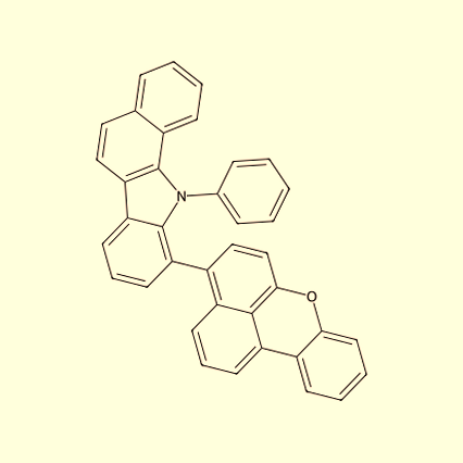 c1ccc(-n2c3c(-c4ccc5c6c(cccc46)-c4ccccc4O5)cccc3c3ccc4ccccc4c32)cc1